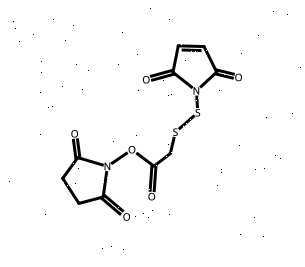 O=C(CSSN1C(=O)C=CC1=O)ON1C(=O)CCC1=O